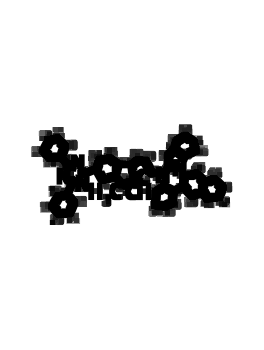 CC1(C)c2cc(-c3nc(-c4ccccc4)nc(-c4ccccc4)n3)ccc2-c2ccc(N3c4ccccc4-c4cc5ccccc5cc4-n4c3cc3ccccc34)cc21